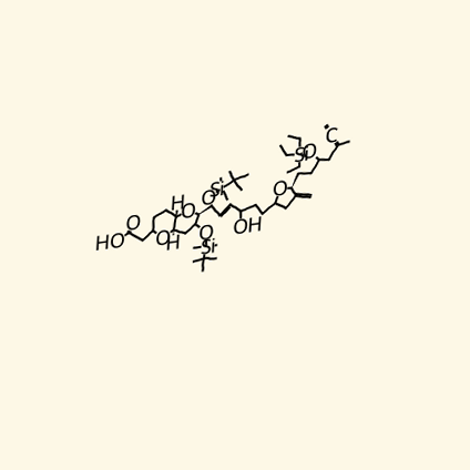 C=C=C(C)CC(CC[C@@H]1OC(CCC(O)/C=C/C(O[Si](C)(C)C(C)(C)C)[C@@H]2O[C@H]3CCC(CC(=O)O)O[C@@H]3CC2O[Si](C)(C)C(C)(C)C)CC1=C)O[Si](CC)(CC)CC